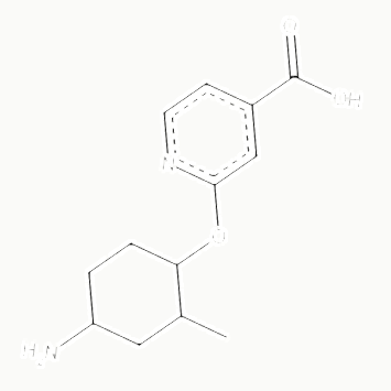 CC1CC(N)CCC1Oc1cc(C(=O)O)ccn1